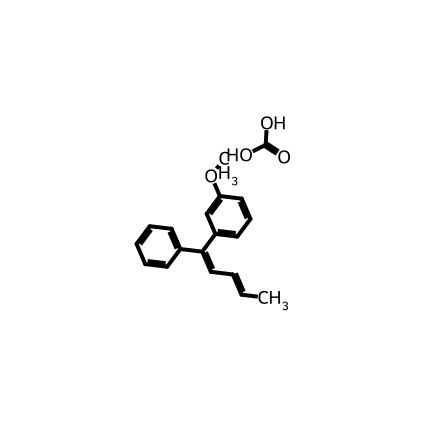 C/C=C/C=C(/c1ccccc1)c1cccc(OC)c1.O=C(O)O